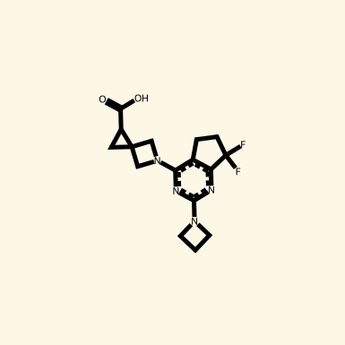 O=C(O)C1CC12CN(c1nc(N3CCC3)nc3c1CCC3(F)F)C2